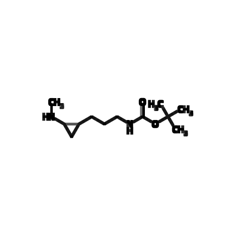 CNC1CC1CCCNC(=O)OC(C)(C)C